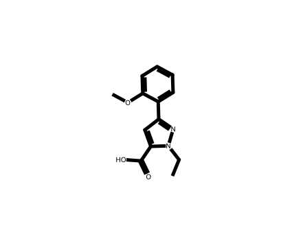 CCn1nc(-c2ccccc2OC)cc1C(=O)O